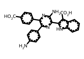 Nc1ccc(-c2nc(-c3[nH]c4ccccc4c3C(=O)O)c(N)nc2-c2ccc(C(=O)O)cc2)cc1